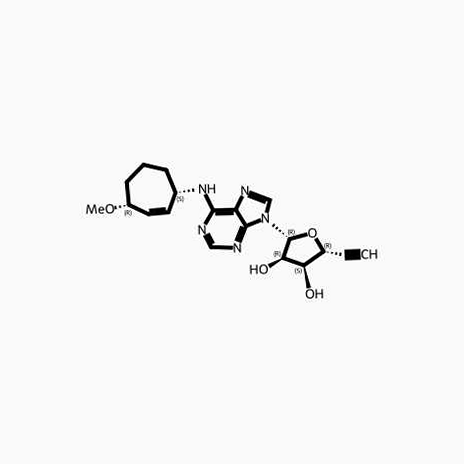 C#C[C@H]1O[C@@H](n2cnc3c(N[C@@H]4C=C[C@H](OC)CCC4)ncnc32)[C@H](O)[C@@H]1O